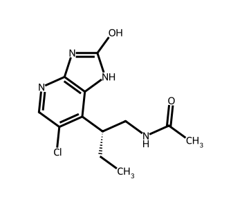 CC[C@@H](CNC(C)=O)c1c(Cl)cnc2nc(O)[nH]c12